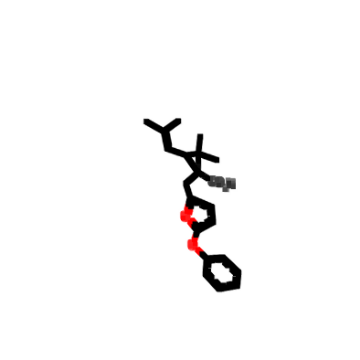 CC(C)=CC1C(C)(C)C1(Cc1ccc(Oc2ccccc2)o1)C(=O)O